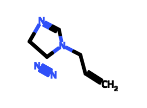 C=CCN1C=NCC1.N#N